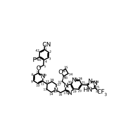 N#Cc1ccc(COc2cccc(C3CCN(Cc4nc5cc(-c6nnc(C(F)(F)F)[nH]6)cnc5n4C[C@@H]4CCO4)CC3)n2)c(F)c1